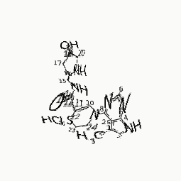 Cc1c[nH]c2ncnc(N3C=C(C(=O)NC[C@H]4C[C@H](O)CN4)SCC3)c12.Cl